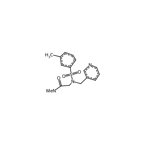 CNC(=O)CN(Cc1cccnc1)S(=O)(=O)c1cccc(C)c1